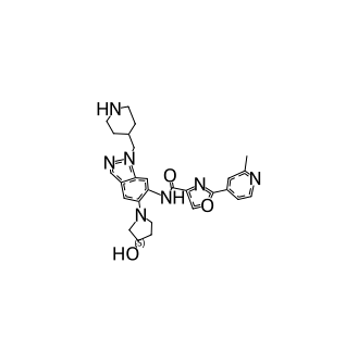 Cc1cc(-c2nc(C(=O)Nc3cc4c(cnn4CC4CCNCC4)cc3N3CC[C@H](O)C3)co2)ccn1